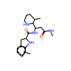 CNC(=O)CC(NC(=O)C1Cc2cccc(C)c2N1)C1NCCCC1C